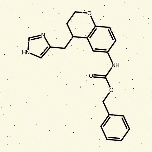 O=C(Nc1ccc2c(c1)C(Cc1c[nH]cn1)CCO2)OCc1ccccc1